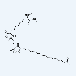 CCN[C@@H](CCCCCCC[C@H](NC(=O)CC[C@H](NC(=O)CCCCCCCCCCCCCCCCC(=O)O)C(=O)O)C(=O)O)C(=O)P